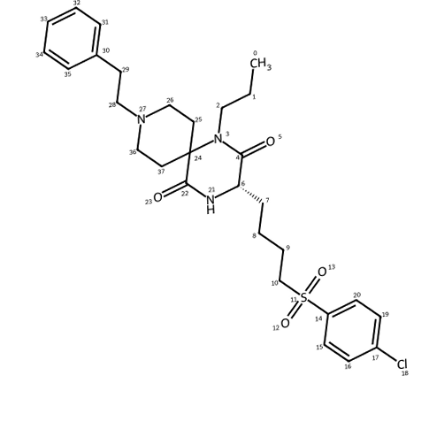 CCCN1C(=O)[C@H](CCCCS(=O)(=O)c2ccc(Cl)cc2)NC(=O)C12CCN(CCc1ccccc1)CC2